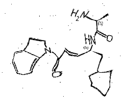 C[C@H](N)C(=O)N[C@H](C=CC(=O)N1CCc2ccccc21)CC1CCCCC1